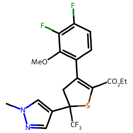 CCOC(=O)C1=C(c2ccc(F)c(F)c2OC)CC(c2cnn(C)c2)(C(F)(F)F)S1